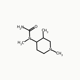 CC1CN(C)CCC1N(C)C(N)=O